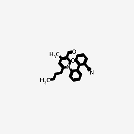 CCCCc1cc(C)c(C=O)c(=O)n1-c1ccccc1-c1ccccc1C#N